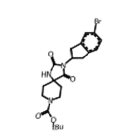 CC(C)(C)OC(=O)N1CCC2(CC1)NC(=O)N(C1Cc3ccc(Br)cc3C1)C2=O